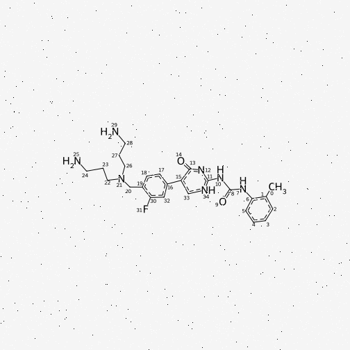 Cc1ccccc1NC(=O)Nc1nc(=O)c(-c2ccc(CN(CCCN)CCCN)c(F)c2)c[nH]1